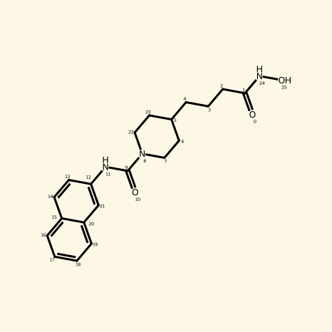 O=C(CCCC1CCN(C(=O)Nc2ccc3ccccc3c2)CC1)NO